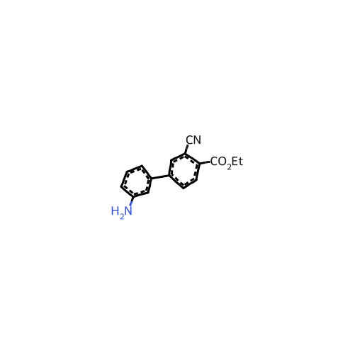 CCOC(=O)c1ccc(-c2cccc(N)c2)cc1C#N